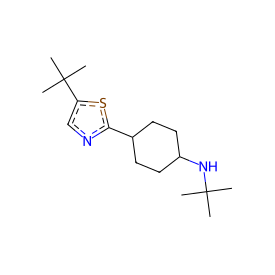 CC(C)(C)NC1CCC(c2ncc(C(C)(C)C)s2)CC1